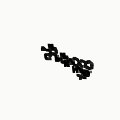 CC(C)(C)[S+]([O-])N[C@@H]1c2ccccc2CC12CCN(c1cnc(Sc3ccnc(C4CC4)c3Cl)cn1)CC2